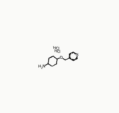 Cl.Cl.NC1CCC(OCc2ccncc2)CC1